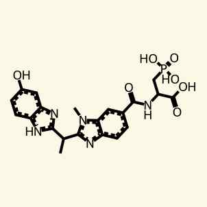 CC(c1nc2cc(O)ccc2[nH]1)c1nc2ccc(C(=O)NC(CP(=O)(O)O)C(=O)O)cc2n1C